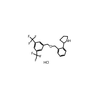 Cl.FC(F)(F)c1cc(COCc2ccccc2C2CCCN2)cc(C(F)(F)F)c1